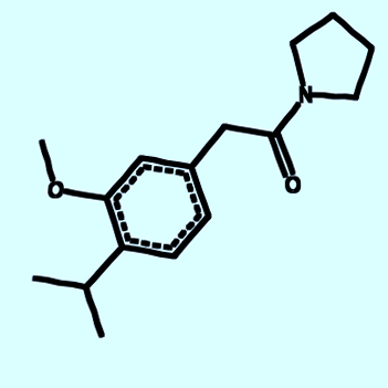 COc1cc(CC(=O)N2CCCC2)ccc1C(C)C